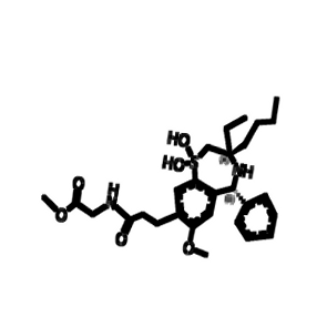 CCCC[C@]1(CC)CS(O)(O)c2cc(CCC(=O)NCC(=O)OC)c(OC)cc2[C@@H](c2ccccc2)N1